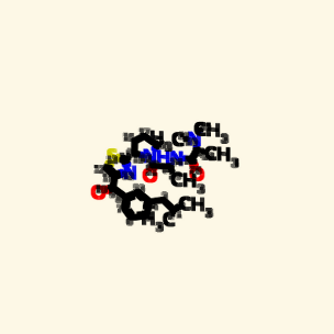 CC(C)Cc1cccc(C(=O)c2csc([C@@H]3CCCN3C(=O)[C@H](C)NC(=O)[C@H](C)N(C)C)n2)c1